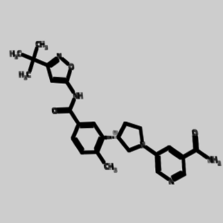 Cc1ccc(C(=O)Nc2cc(C(C)(C)C)no2)cc1[C@@H]1CCN(c2cncc(C(N)=O)c2)C1